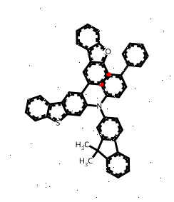 CC1(C)c2ccccc2-c2ccc(N(c3ccc(-c4ccccc4)cc3)c3cc4sc5ccccc5c4cc3-c3ccc4oc5ccccc5c4c3)cc21